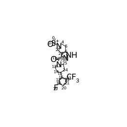 C[S+]([O-])N1CCc2[nH]nc(C(=O)N3CCC(c4cc(F)ccc4C(F)(F)F)CC3)c2C1